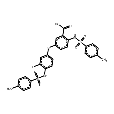 Cc1ccc(S(=O)(=O)Nc2ccc(Oc3ccc(NS(=O)(=O)c4ccc(C)cc4)c(C(=O)O)c3)cc2F)cc1